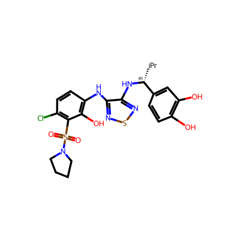 CC(C)[C@@H](Nc1nsnc1Nc1ccc(Cl)c(S(=O)(=O)N2CCCC2)c1O)c1ccc(O)c(O)c1